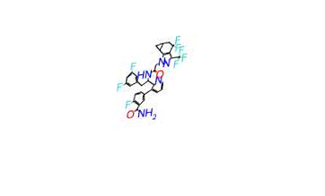 NC(=O)c1cc(-c2cccnc2C(Cc2cc(F)cc(F)c2)NC(=O)Cn2nc(C(F)(F)F)c3c2C2CC2CC3(F)F)ccc1F